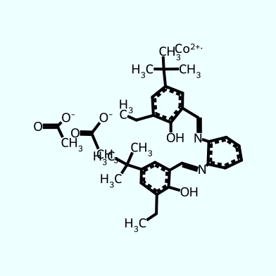 CC(=O)[O-].CC(=O)[O-].CCc1cc(C(C)(C)C)cc(C=Nc2ccccc2N=Cc2cc(C(C)(C)C)cc(CC)c2O)c1O.[Co+2]